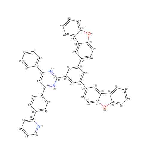 c1ccc(-c2cc(-c3ccc(-c4ccccn4)cc3)nc(-c3cc(-c4ccc5oc6ccccc6c5c4)cc(-c4ccc5oc6ccccc6c5c4)c3)n2)cc1